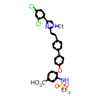 CCn1cc(-c2ccc(Cl)cc2Cl)nc1/C=C/c1ccc(-c2ccc(Oc3ccc(C(=O)O)cc3NS(=O)(=O)C(F)(F)F)cc2)cc1